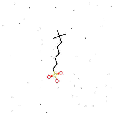 CC(C)(C)CCCCCCS([O])(=O)=O